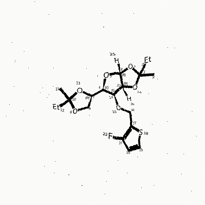 CCC1(C)O[C@H]2O[C@H]([C@H]3COC(C)(CC)O3)[C@H](OCc3sccc3F)[C@H]2O1